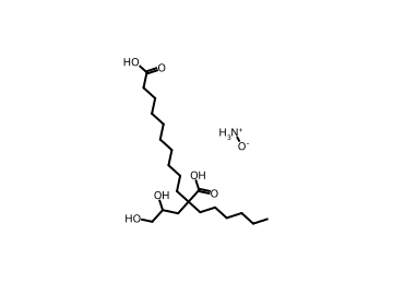 CCCCCCC(CCCCCCCCCC(=O)O)(CC(O)CO)C(=O)O.[NH3+][O-]